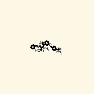 N=C(N)c1ccc(COc2ccc3[nH]cc(C(N)C(C(=O)O)C(=O)OCc4ccccc4)c3c2)cc1